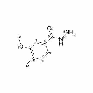 COc1cc(C(=O)NN)ccc1C